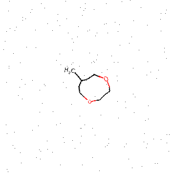 CC1COCCOC1